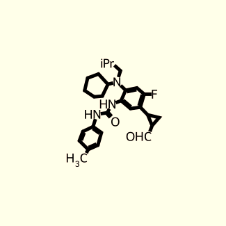 Cc1ccc(NC(=O)Nc2cc(C3CC3C=O)c(F)cc2N(CC(C)C)C2CCCCC2)cc1